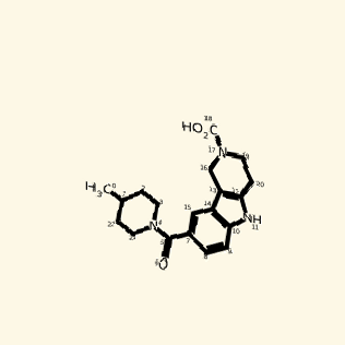 CC1CCN(C(=O)c2ccc3[nH]c4c(c3c2)CN(C(=O)O)CC4)CC1